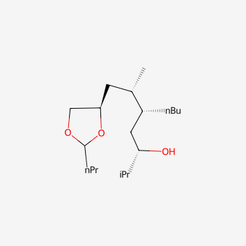 CCCC[C@H](C[C@H](O)C(C)C)[C@@H](C)C[C@@H]1COC(CCC)O1